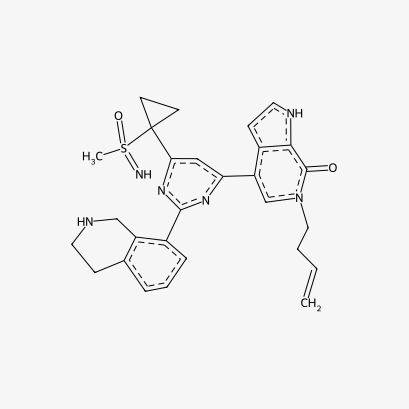 C=CCCn1cc(-c2cc(C3(S(C)(=N)=O)CC3)nc(-c3cccc4c3CNCC4)n2)c2cc[nH]c2c1=O